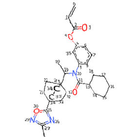 C=CC(=O)Oc1cccc(N(C(=O)C2CCCCC2)C(C)C23CCC(c4nc(C)no4)(CC2)CC3)c1